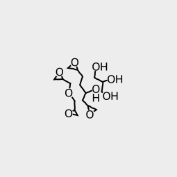 C(OCC1CO1)C1CO1.OC(CCC1CO1)CC1CO1.OCC(O)CO